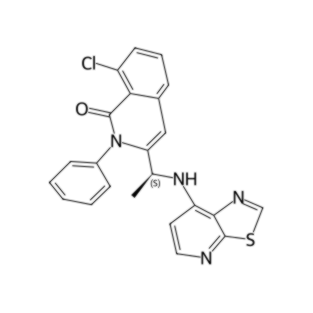 C[C@H](Nc1ccnc2scnc12)c1cc2cccc(Cl)c2c(=O)n1-c1ccccc1